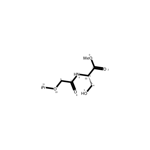 COC(=O)[C@H](CO)NC(=O)COC(C)C